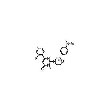 CC(=O)N(C)c1ccc([C@H]2CN(c3nc(-c4ccncc4F)cc(=O)n3C)CCO2)cc1